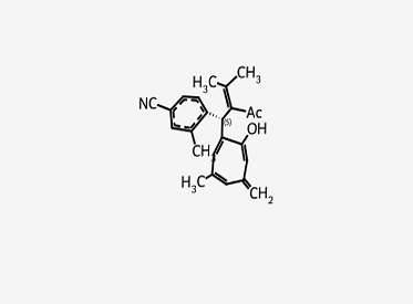 C=C1C=C(C)C=C([C@@H](C(C(C)=O)=C(C)C)c2ccc(C#N)cc2C)C(O)=C1